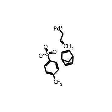 C1=CC2C=CC1C2.C=C[CH2][Pd+].O=S(=O)([O-])c1ccc(C(F)(F)F)cc1